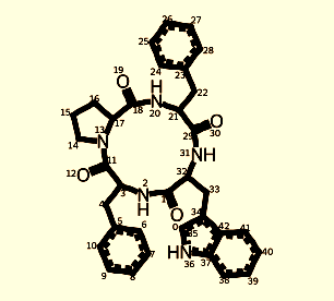 O=C1NC(Cc2ccccc2)C(=O)N2CCCC2C(=O)NC(Cc2ccccc2)C(=O)NC1Cc1c[nH]c2ccccc12